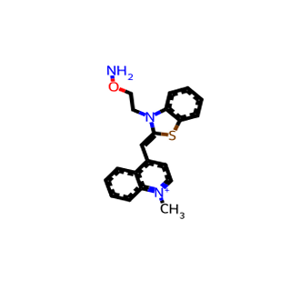 C[n+]1ccc(/C=C2\Sc3ccccc3N2CCON)c2ccccc21